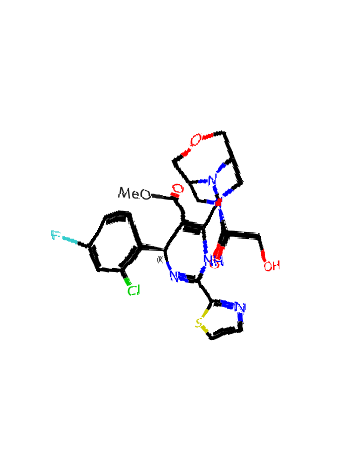 COC(=O)C1=C(CN2C3COCC2CN(C(=O)CO)C3)NC(c2nccs2)=N[C@H]1c1ccc(F)cc1Cl